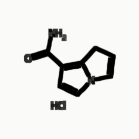 Cl.NC(=O)c1ccn2c1CC=C2